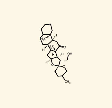 CC1CC[C@@]2(OC1)O[C@H]1C[C@H]3[C@@H]4CCC5CCCC[C@]5(C)[C@H]4CC(=O)[C@]3(C)[C@H]1[C@@H]2CO